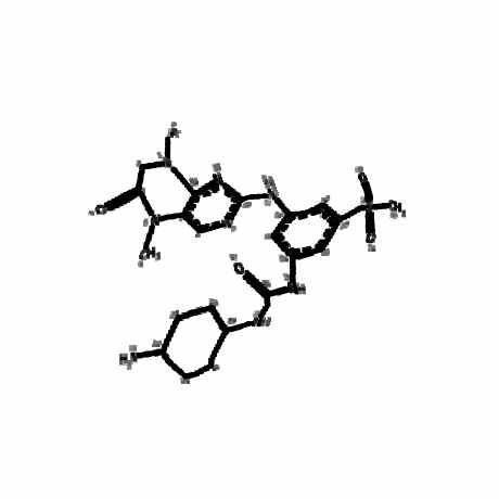 CC(C)N1CC(=O)N(C)c2cnc(Nc3cc(NC(=O)NC4CCC(N)CC4)cc(S(C)(=O)=O)c3)nc21